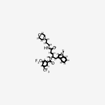 CN(C(=O)c1cc(C(F)(F)F)cc(C(F)(F)F)c1)C(C=CC(=O)NCCCN1CCOCC1)Cc1cn(C)c2ccccc12